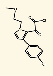 COCCn1ccc(-c2ccc(Cl)cc2)c1C(=O)C(=O)Cl